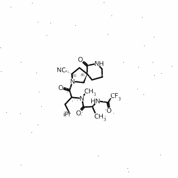 CC(C)CC(C(=O)N1C[C@@]2(CCCNC2=O)C[C@H]1C#N)N(C)C(=O)C(C)NC(=O)C(F)(F)F